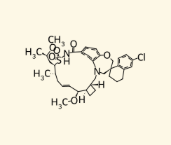 CO[C@H](C)C[C@@H]1[C@@H](C)C/C=C/[C@H](OC)[C@@H]2CC[C@H]2CN2C[C@@]3(CCCc4cc(Cl)ccc43)COc3ccc(cc32)C(=O)NS1(=O)=O